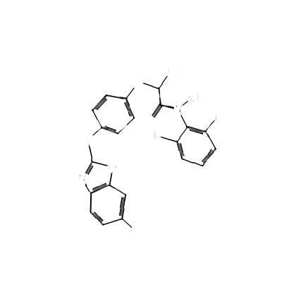 CC(Oc1ccc(Oc2nc3ccc(Cl)cc3o2)cc1)C(=O)N(C)c1c(F)cccc1F